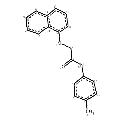 Cc1ccc(NC(=O)COc2cccc3ccccc23)cc1